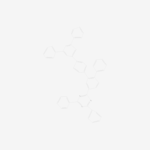 c1ccc(-c2cc(-c3ccccc3)cc(-c3ccc(-c4cc(-c5nc(-c6ccccc6)nc(-c6ccccc6)n5)ccc4-c4ccccc4)cc3)c2)cc1